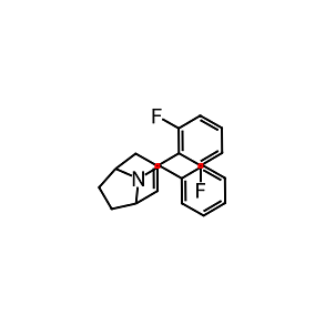 Fc1cccc(F)c1C1=CC2CCC(C1)N2Cc1ccccc1